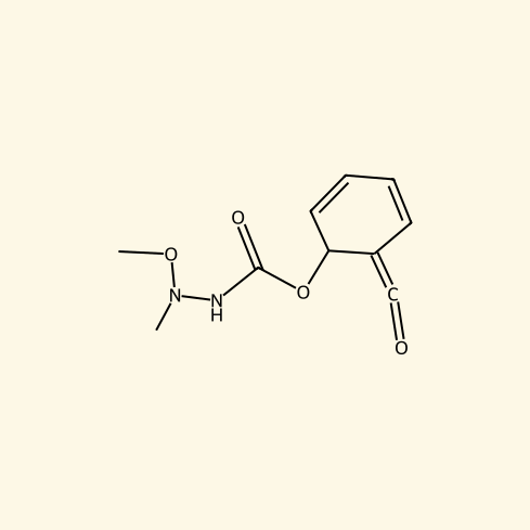 CON(C)NC(=O)OC1C=CC=CC1=C=O